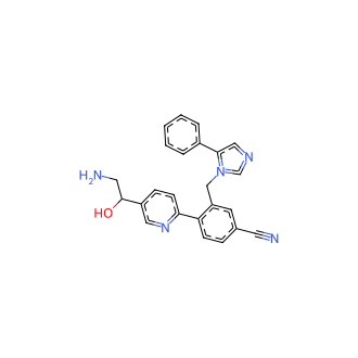 N#Cc1ccc(-c2ccc(C(O)CN)cn2)c(Cn2cncc2-c2ccccc2)c1